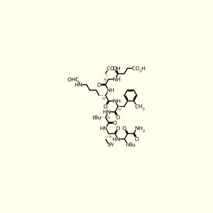 CCCCC(NC(=O)[C@H](CC(C)C)NC(=O)[C@@H](NC(=O)[C@H](Cc1ccccc1C)NC(=O)[C@H](CCCCNC=O)NC(=O)[C@H](CC(=O)O)NC(=O)CCC(=O)O)C(C)(C)C)C(=O)C(N)=O